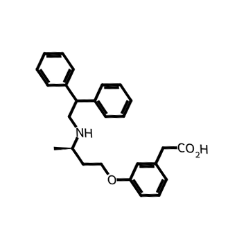 C[C@H](CCOc1cccc(CC(=O)O)c1)NCC(c1ccccc1)c1ccccc1